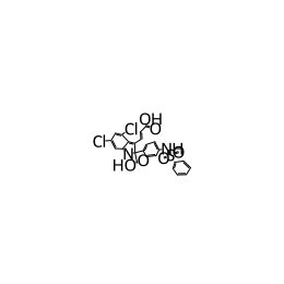 O=C(O)C=CC1=c2c(Cl)cc(Cl)cc2=NC1(C(=O)O)c1ccc(NS(=O)(=O)c2ccccc2)cc1